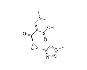 CN(C)/C=C(\C(=O)O)C(=O)[C@@H]1C[C@H]1c1cn(C)nn1